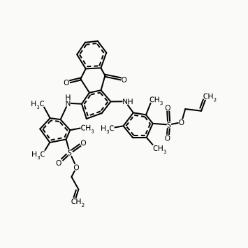 C=CCOS(=O)(=O)c1c(C)cc(C)c(Nc2ccc(Nc3c(C)cc(C)c(S(=O)(=O)OCC=C)c3C)c3c2C(=O)c2ccccc2C3=O)c1C